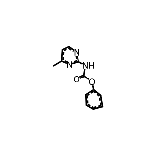 Cc1ccnc(NC(=O)Oc2ccccc2)n1